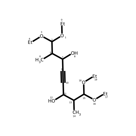 CCOC(OCC)C(C)C(O)C#CC(O)C(C)C(OCC)OCC